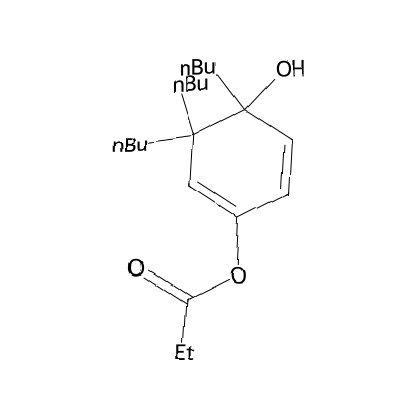 CCCCC1(O)C=CC(OC(=O)CC)=CC1(CCCC)CCCC